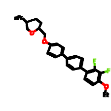 CCCC1CCC(COc2ccc(-c3ccc(-c4ccc(OCC)c(F)c4F)cc3)cc2)OC1